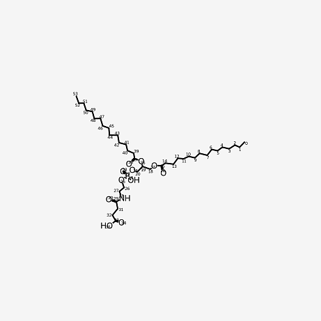 CCCCCCCCCCCCCCCC(=O)OCC(COP(=O)(O)OCCNC(=O)CCC(=O)O)OC(=O)CCCCCCCCCCCCCCC